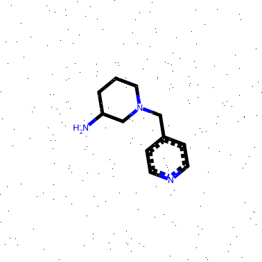 NC1CCCN(Cc2ccncc2)C1